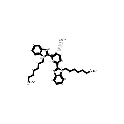 CCCCCCCCCCCCCCCCn1c(-c2cccc(-c3nc4ccccc4n3CCCCCCCCCCCCCCCC)n2)nc2ccccc21.[Cl-].[Cl-].[Cl-].[V+3]